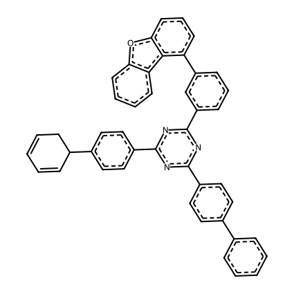 C1=CCC(c2ccc(-c3nc(-c4ccc(-c5ccccc5)cc4)nc(-c4cccc(-c5cccc6oc7ccccc7c56)c4)n3)cc2)C=C1